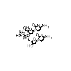 Nc1ccn([C@H]2C[C@H](O)[C@@H](CO)O2)c(=O)n1.Nc1ccn([C@H]2C[C@H](O)[C@@H](CO)O2)c(=O)n1.OP(O)(=S)S